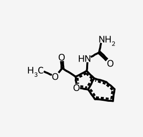 COC(=O)c1oc2ccccc2c1NC(N)=O